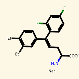 CCc1ccc(C(=CCC(N)C(=O)[O-])c2ccc(F)cc2F)cc1CC.[Na+]